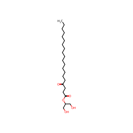 CCCCCCCCCCCCCCCCC(=O)CCC(=O)OC(CO)CO